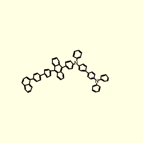 c1ccc(N(c2ccccc2)c2ccc(-c3ccc(N(c4ccccc4)c4ccc(-c5c6ccccc6c(-c6ccc(-c7ccc(-c8cccc9ccccc89)cc7)cc6)c6ccccc56)cc4)cc3)cc2)cc1